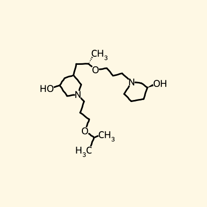 CC(C)OCCCN1CC(O)CC(C[C@H](C)OCCCN2CCC[C@H](O)C2)C1